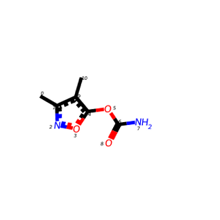 Cc1noc(OC(N)=O)c1C